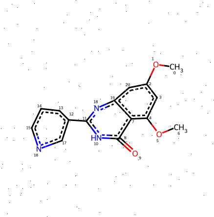 COc1cc(OC)c2c(=O)[nH]c(-c3cccnc3)nc2c1